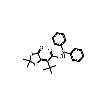 CC1(C)OC(=O)/C(=C(\C(=O)O[SiH](c2ccccc2)c2ccccc2)C(C)(C)C)O1